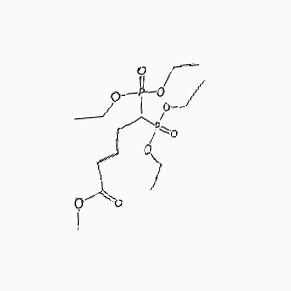 CCOP(=O)(OCC)C(CCCC(=O)OC)P(=O)(OCC)OCC